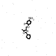 Cc1oc(-c2ccccc2)nc1COc1ccc(N)cc1F